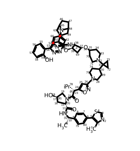 Cc1ncsc1-c1ccc([C@H](C)NC(=O)[C@@H]2C[C@@H](O)CN2C(=O)[C@@H](c2cc(N3CCC(C4(N5CCC(O[C@H]6C[C@H](Oc7cc(N8C9CCC8CN(c8cc(-c%10ccccc%10O)nnc8N)C9)ccn7)C6)CC5)CC4)CC3)no2)C(C)C)cc1